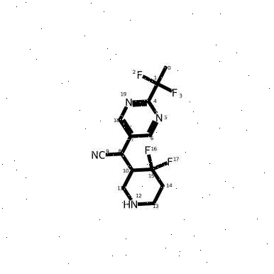 CC(F)(F)c1ncc(C(C#N)C2CNCCC2(F)F)cn1